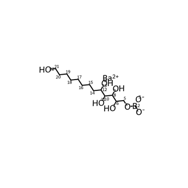 [Ba+2].[O-]B([O-])OCC(O)C(O)C(O)C(O)CCCCCCCCO